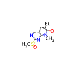 CCc1cc2cnc([S+](C)[O-])nc2n(C)c1=O